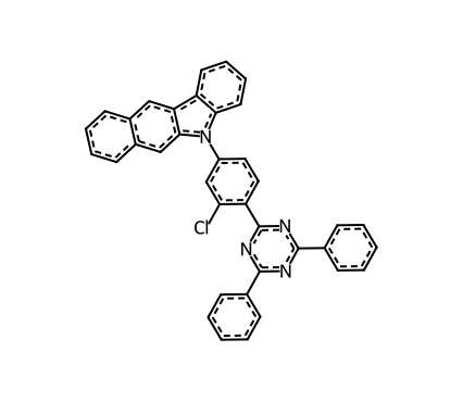 Clc1cc(-n2c3ccccc3c3cc4ccccc4cc32)ccc1-c1nc(-c2ccccc2)nc(-c2ccccc2)n1